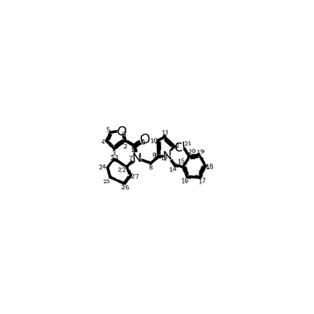 O=C(c1ccco1)N(Cc1cccn1Cc1ccccc1Cl)C1CCCCC1